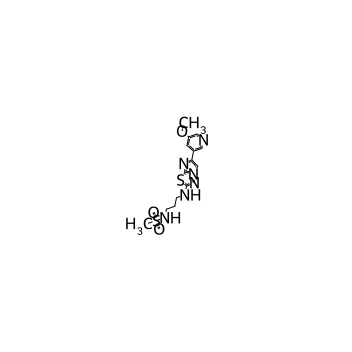 COc1cncc(-c2cn3nc(NCCCNS(C)(=O)=O)sc3n2)c1